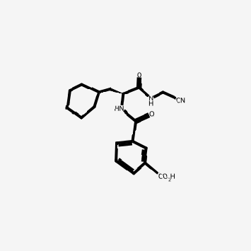 N#CCNC(=O)[C@H](CC1CCCCC1)NC(=O)c1cccc(C(=O)O)c1